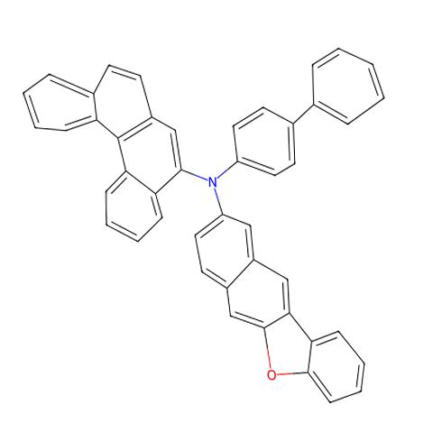 c1ccc(-c2ccc(N(c3ccc4cc5oc6ccccc6c5cc4c3)c3cc4ccc5ccccc5c4c4ccccc34)cc2)cc1